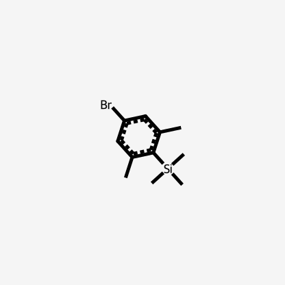 Cc1cc(Br)cc(C)c1[Si](C)(C)C